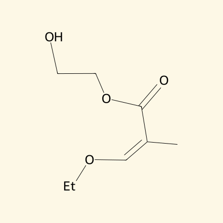 CCOC=C(C)C(=O)OCCO